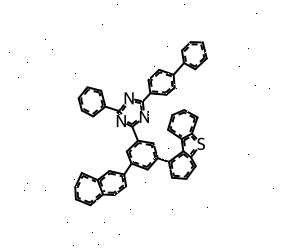 c1ccc(-c2ccc(-c3nc(-c4ccccc4)nc(-c4cc(-c5ccc6ccccc6c5)cc(-c5cccc6sc7ccccc7c56)c4)n3)cc2)cc1